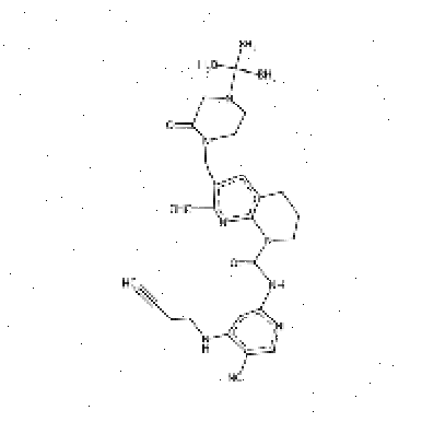 BC(B)(B)N1CCN(Cc2cc3c(nc2C=O)N(C(=O)Nc2cc(NCCC#C)c(C#N)cn2)CCC3)C(=O)C1